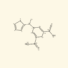 CC(c1cccs1)N1C=C(C(=O)O)CC(C(=O)O)=C1